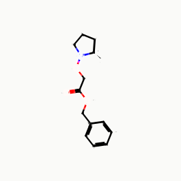 O=C(CON1CCC[C@H]1C(=O)O)OCc1ccccc1